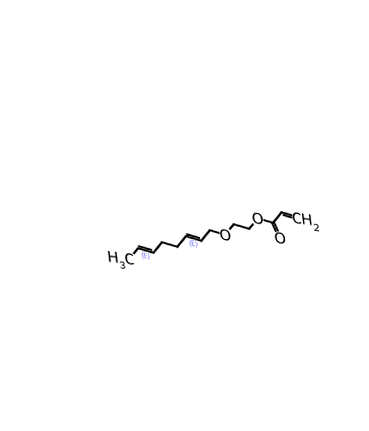 C=CC(=O)OCCOC/C=C/CC/C=C/C